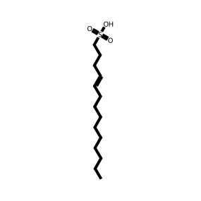 CCCCCCCCCC=CCCCS(=O)(=O)O